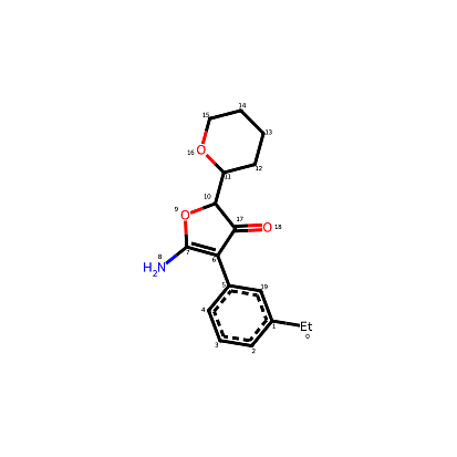 CCc1cccc(C2=C(N)OC(C3CCCCO3)C2=O)c1